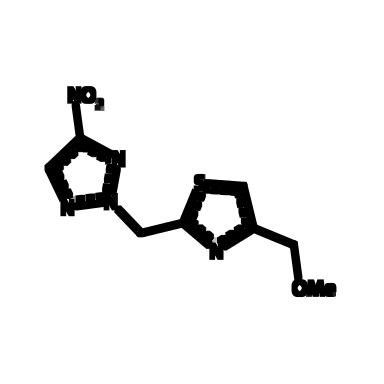 COCc1csc(Cn2ncc([N+](=O)[O-])n2)n1